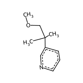 COCC(C)(C)c1cccnc1